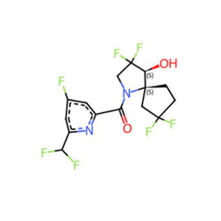 O=C(c1cc(F)cc(C(F)F)n1)N1CC(F)(F)[C@@H](O)[C@@]12CCC(F)(F)C2